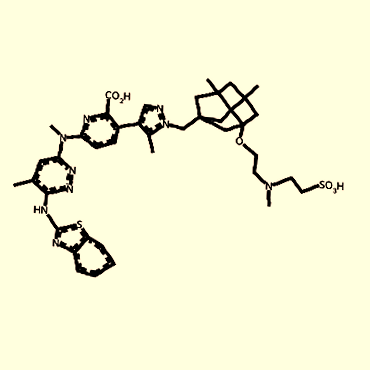 Cc1cc(N(C)c2ccc(-c3cnn(CC45CC6(C)CC7(C)CC(OCCN(C)CCS(=O)(=O)O)(C4)C67C5)c3C)c(C(=O)O)n2)nnc1Nc1nc2ccccc2s1